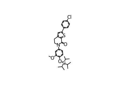 COc1cc(N2CCc3cc(-c4ccc(Cl)cc4)sc3C2=O)ccc1O[Si](C(C)C)(C(C)C)C(C)C